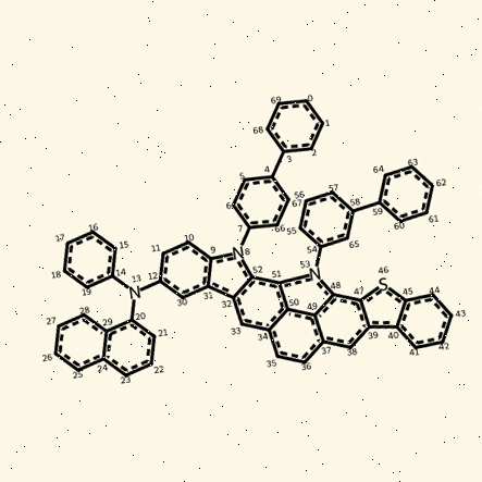 c1ccc(-c2ccc(-n3c4ccc(N(c5ccccc5)c5cccc6ccccc56)cc4c4cc5ccc6cc7c8ccccc8sc7c7c6c5c(c43)n7-c3cccc(-c4ccccc4)c3)cc2)cc1